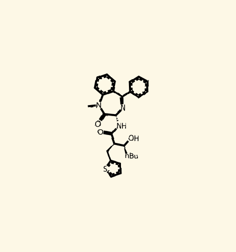 CCCC[C@H](O)[C@@H](Cc1cccs1)C(=O)N[C@H]1N=C(c2ccccc2)c2ccccc2N(C)C1=O